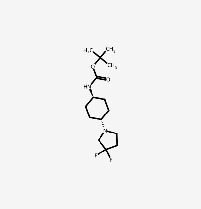 CC(C)(C)OC(=O)N[C@H]1CC[C@H](N2CCC(F)(F)C2)CC1